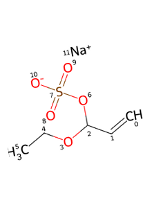 C=CC(OCC)OS(=O)(=O)[O-].[Na+]